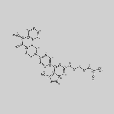 CO[C@H](C(=O)N1CCN(c2ccc(-c3cc(OCCCOC(=O)C(F)(F)F)cn4ncc(C#N)c34)cn2)CC1)c1ccccc1